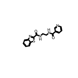 O=C(NCCNC(=O)c1nc2ccccc2s1)c1cccnc1